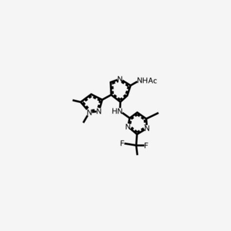 CC(=O)Nc1cc(Nc2cc(C)nc(C(C)(F)F)n2)c(-c2cc(C)n(C)n2)cn1